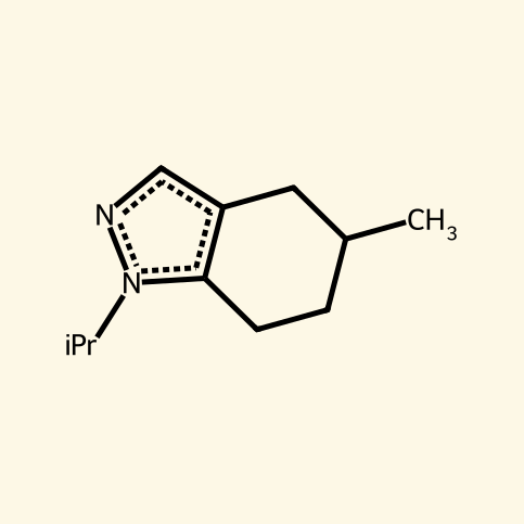 CC1CCc2c(cnn2C(C)C)C1